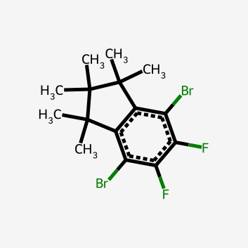 CC1(C)c2c(Br)c(F)c(F)c(Br)c2C(C)(C)C1(C)C